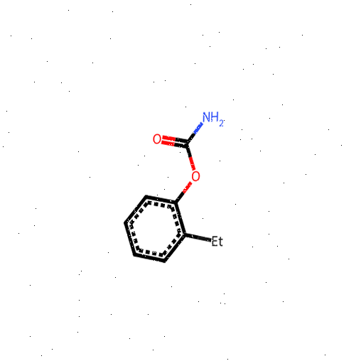 CCc1ccccc1OC(N)=O